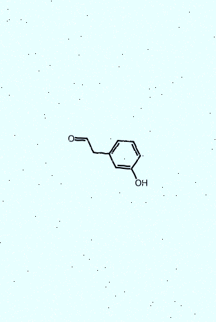 O=CCc1cc[c]c(O)c1